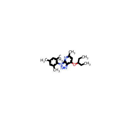 CCC(CC)Oc1cc(C)nc2c1nnn2-c1c(C)cc(C)cc1C